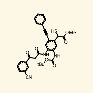 COC(=O)C(S)c1cc(NC(=O)OC(C)(C)C)c(NC(=O)CC(=O)c2cccc(C#N)c2)cc1C#Cc1ccccc1